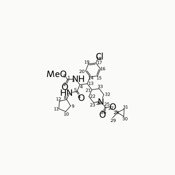 COC(=O)NC(C(=O)NC1CCCC1)C(c1ccc(Cl)cc1)C1CCN(C(=O)OC2(C)CC2)CC1